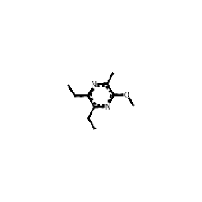 CCc1nc(C)c(OC)nc1CC